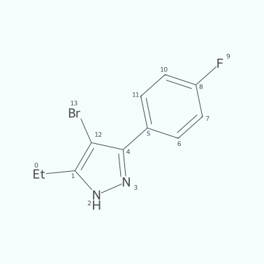 CCc1[nH]nc(-c2ccc(F)cc2)c1Br